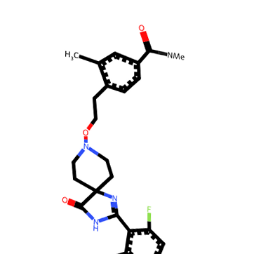 CNC(=O)c1ccc(CCON2CCC3(CC2)N=C(c2c(F)cccc2F)NC3=O)c(C)c1